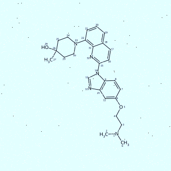 CN(C)CCOc1ccc2c(c1)ncn2-c1ccc2cccc(N3CCC(C)(O)CC3)c2n1